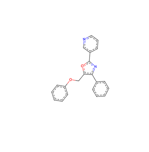 c1ccc(OCc2oc(-c3cccnc3)nc2-c2ccccc2)cc1